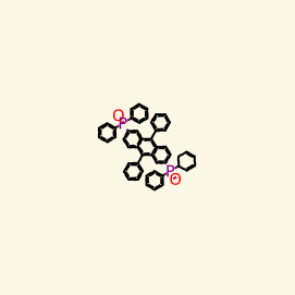 O=P(c1ccccc1)(c1ccccc1)c1ccc2c(-c3ccccc3)c3cc([P@@](=O)(c4ccccc4)C4C=CC=CC4)ccc3c(-c3ccccc3)c2c1